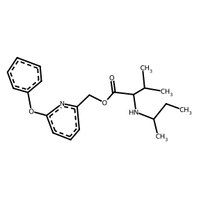 CCC(C)NC(C(=O)OCc1cccc(Oc2ccccc2)n1)C(C)C